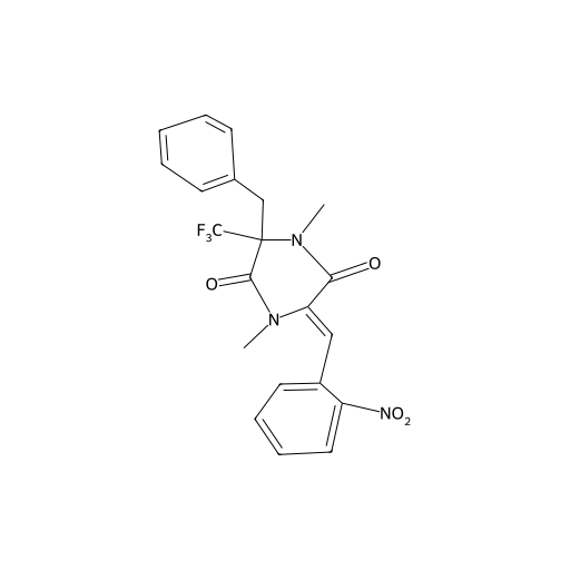 CN1C(=O)C(Cc2ccccc2)(C(F)(F)F)N(C)C(=O)C1=Cc1ccccc1[N+](=O)[O-]